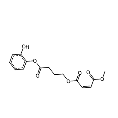 COC(=O)/C=C\C(=O)OCCCC(=O)Oc1ccccc1O